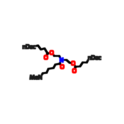 CCCCCCCCCCCCCC(=O)OCCN(CCOC(=O)CCCCCCCCCCCCC)C(=O)CCCCCNC